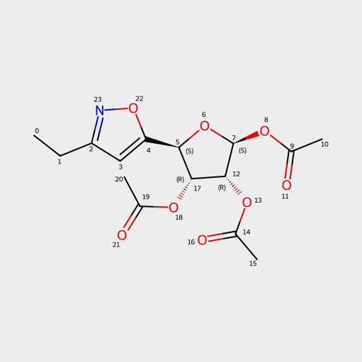 CCc1cc([C@H]2O[C@@H](OC(C)=O)[C@H](OC(C)=O)[C@@H]2OC(C)=O)on1